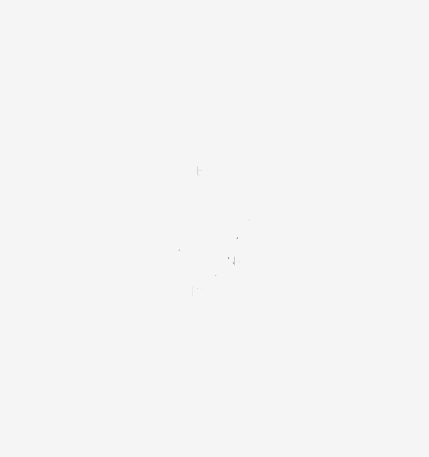 Brc1ccc2nc(Br)sc2c1